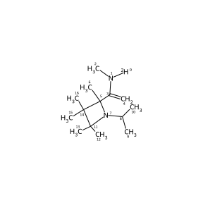 [2H]N(C)C(=C)C1(C)N(C(C)C)C(C)(C)C1(C)C